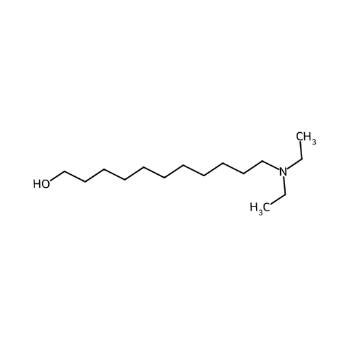 CCN(CC)CCCCCCCCCCCO